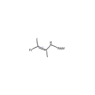 CC/C(C)=C(\C)NNC